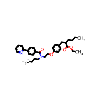 CCCCC(Cc1ccc(OCCN(CCCC)C(=O)c2ccc(-c3ccccn3)cc2)cc1)C(=O)OCC